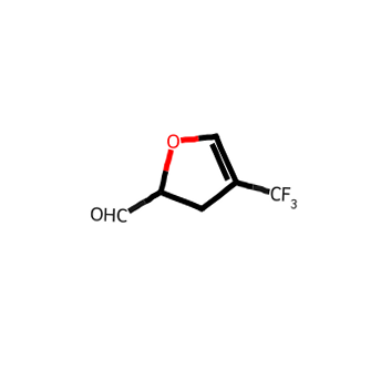 O=CC1CC(C(F)(F)F)=CO1